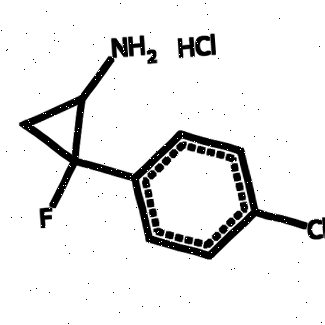 Cl.NC1CC1(F)c1ccc(Cl)cc1